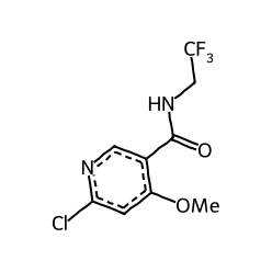 COc1cc(Cl)ncc1C(=O)NCC(F)(F)F